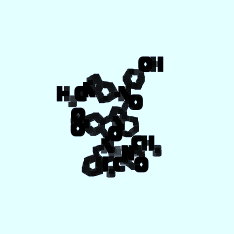 C[C@H]1COC[C@H](C)N1C[C@@H]1Cc2ccccc2CN1C(=O)c1cc2c(cc1-c1cc(C(=O)N(c3ccc(O)cc3)c3ccc4c(ccn4C)c3)c3n1CCCC3)OCO2